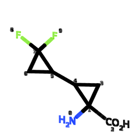 NC1(C(=O)O)CC1C1CC1(F)F